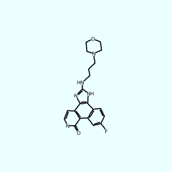 O=C1[N]C=Cc2c1c1cc(F)ccc1c1[nH]c(NCCCN3CCOCC3)nc21